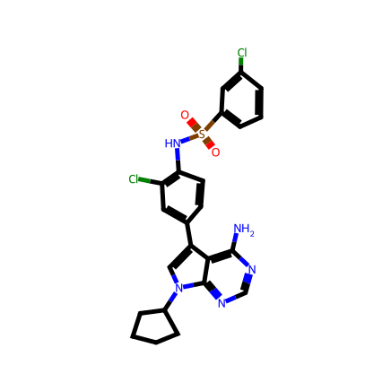 Nc1ncnc2c1c(-c1ccc(NS(=O)(=O)c3cccc(Cl)c3)c(Cl)c1)cn2C1CCCC1